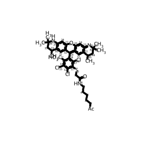 CC(=O)CCCCCNC(=O)CSc1c(Cl)c(Cl)c(C(=O)O)c(C2=c3cc4c(cc3Oc3cc5c(cc32)C(C)CC(C)(C)N5)=NC(C)(C)CC4C)c1Cl